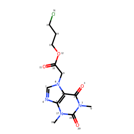 Cn1c(=O)c2c(ncn2CC(=O)OCCCCl)n(C)c1=O